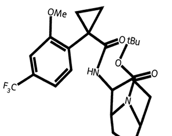 COc1cc(C(F)(F)F)ccc1C1(C(=O)NC2CCC3CCC2N3C(=O)OC(C)(C)C)CC1